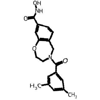 Cc1cc(C)cc(C(=O)N2CCOc3cc(C(=O)NO)ccc3C2)c1